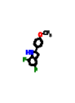 Fc1cc(F)c2[nH]c(-c3ccc(OC(F)(F)F)cc3)cc2c1